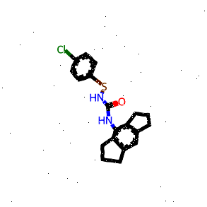 O=C(NSc1ccc(Cl)cc1)Nc1c2c(cc3c1CCC3)CCC2